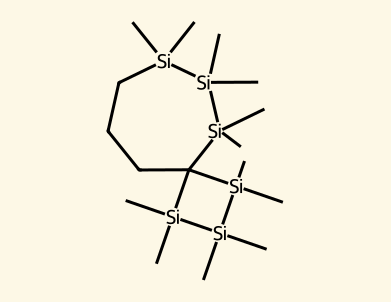 C[Si]1(C)CCCC2([Si](C)(C)[Si]1(C)C)[Si](C)(C)[Si](C)(C)[Si]2(C)C